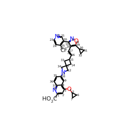 O=C(O)c1cc(OC2CC2)c2cc(N3CC4(CC(/C=C/c5c(-c6cnccc6C(F)(F)F)noc5C5CC5)C4)C3)ccc2n1